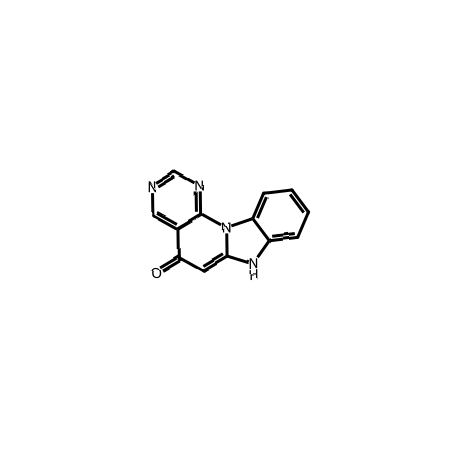 O=c1cc2[nH]c3ccccc3n2c2ncncc12